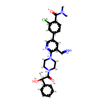 CN(C)C(=O)c1ccc(-c2cnc(N3CCN(C(=O)[C@](C)(O)c4ccccc4)CC3)c(C=N)c2)cc1Cl